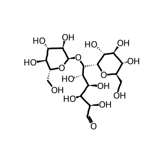 O=C[C@H](O)[C@@H](O)[C@H](O)[C@H](O)C(O[C@H]1O[C@H](CO)[C@@H](O)[C@H](O)[C@H]1O)[C@H]1O[C@H](CO)[C@@H](O)[C@H](O)[C@H]1O